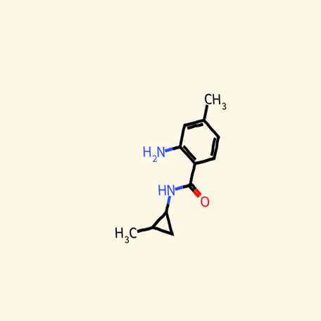 Cc1ccc(C(=O)NC2CC2C)c(N)c1